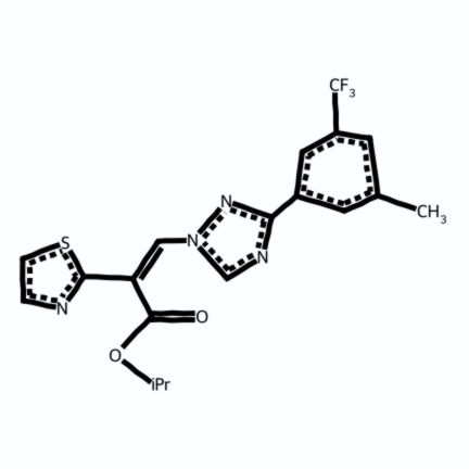 Cc1cc(-c2ncn(/C=C(\C(=O)OC(C)C)c3nccs3)n2)cc(C(F)(F)F)c1